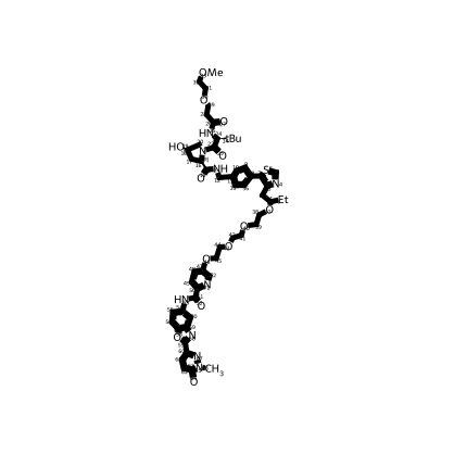 CCC(Cc1ncsc1-c1ccc(CNC(=O)[C@H]2C[C@H](O)CN2C(=O)[C@H](NC(=O)CCOCCOC)C(C)(C)C)cc1)OCCOCCOCCOc1ccc(C(=O)Nc2ccc3oc(-c4ccc(=O)n(C)n4)nc3c2)nc1